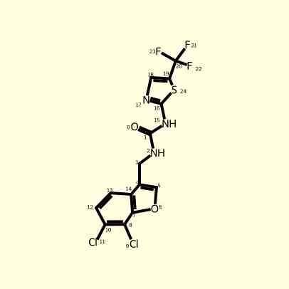 O=C(NCc1coc2c(Cl)c(Cl)ccc12)Nc1ncc(C(F)(F)F)s1